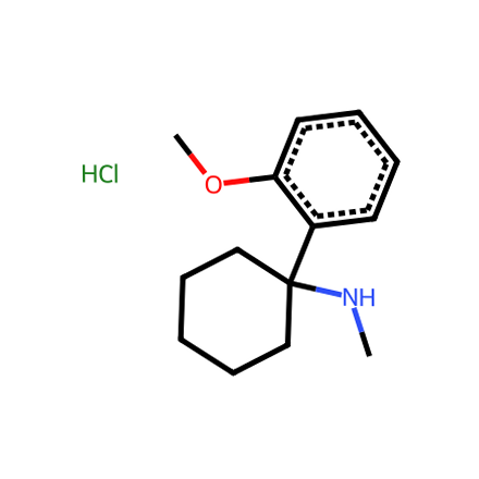 CNC1(c2ccccc2OC)CCCCC1.Cl